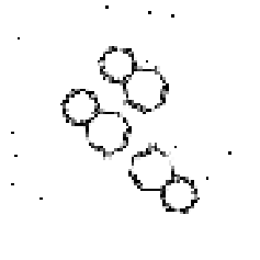 C1=CSc2ccccc2C=N1.C1=CSc2ccccc2N=C1.C1=Cc2ccccc2SN=C1